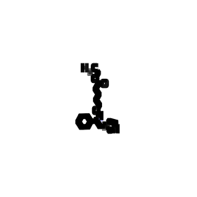 CCOC(=O)CCCCO/N=C(/Cn1ccnc1)C1CCCCC1